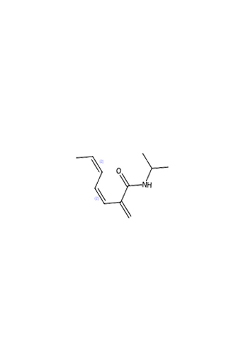 C=C(/C=C\C=C/C)C(=O)NC(C)C